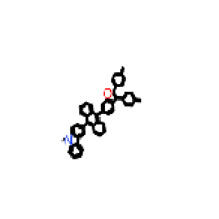 Cc1ccc(-c2oc3cc(-c4c5ccccc5c(-c5ccc6c(c5)c5ccccc5n6C)c5ccccc45)ccc3c2-c2ccc(C)cc2)cc1